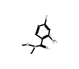 CON(C)C(=O)c1ccc(F)cc1N